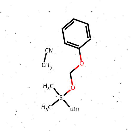 CC#N.CC(C)(C)[Si](C)(C)OCOc1ccccc1